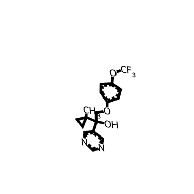 CC1(C(O)(COc2ccc(OC(F)(F)F)cc2)c2cncnc2)CC1